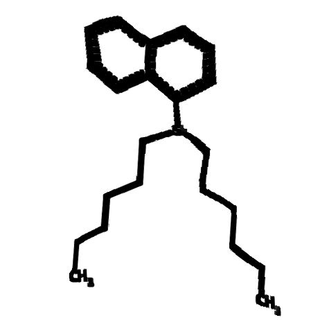 CCCCCC[Si](CCCCCC)c1cccc2ccccc12